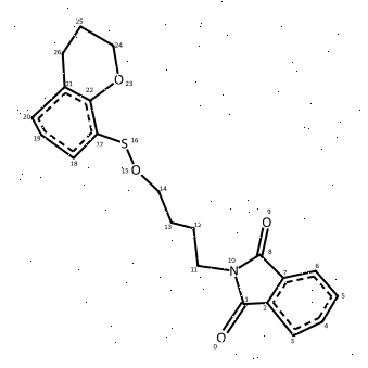 O=C1c2ccccc2C(=O)N1CCCCOSc1cccc2c1OCCC2